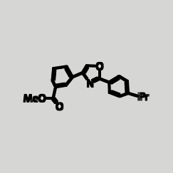 COC(=O)c1cccc(-c2coc(-c3ccc(C(C)C)cc3)n2)c1